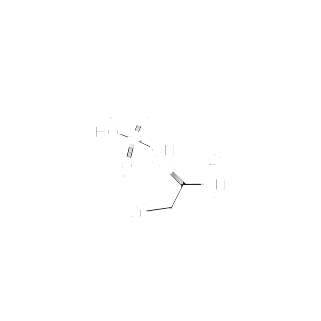 O=C(O)[CH2][Zr].O=S(=O)(O)O.[Zr]